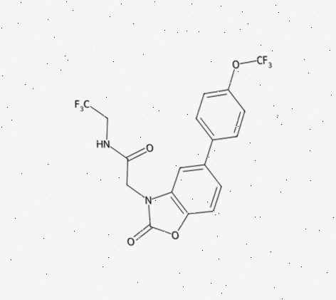 O=C(Cn1c(=O)oc2ccc(-c3ccc(OC(F)(F)F)cc3)cc21)NCC(F)(F)F